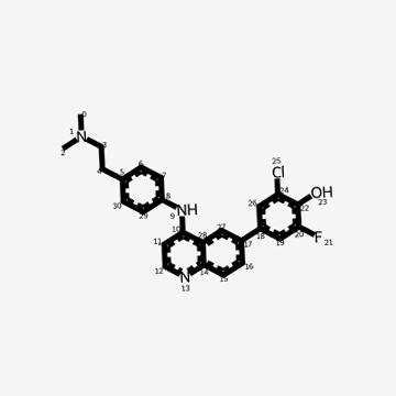 CN(C)CCc1ccc(Nc2[c]cnc3ccc(-c4cc(F)c(O)c(Cl)c4)cc23)cc1